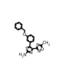 Cc1nc(-c2nc(N)sc2-c2cccc(OCc3ccccc3)c2)no1